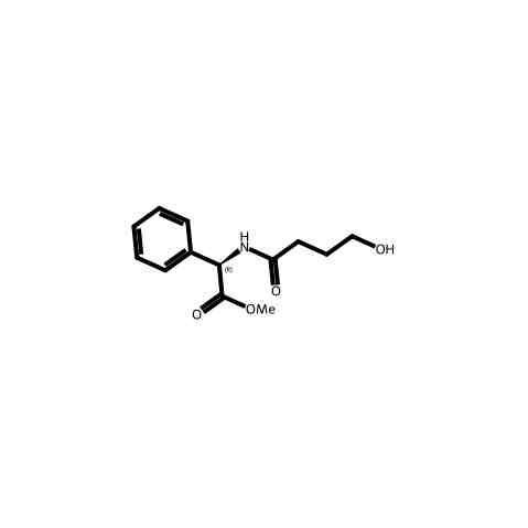 COC(=O)[C@H](NC(=O)CCCO)c1ccccc1